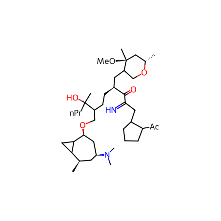 CCCC(C)(O)C(CC[C@@H](CC1CO[C@@H](C)C[C@]1(C)OC)C(=O)C(=N)CC1CCCC1C(C)=O)CO[C@H]1C[C@@H](N(C)C)C[C@@H](C)C2CC21